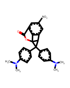 CN(C)c1ccc(C2(c3ccc(N(C)C)cc3)C3c4cc([N+](=O)[O-])cc5c4C32OC5=O)cc1